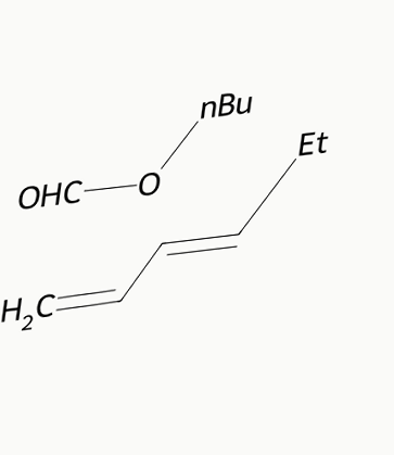 C=CC=CCC.CCCCOC=O